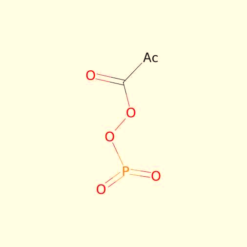 CC(=O)C(=O)OOP(=O)=O